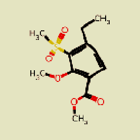 CCc1ccc(C(=O)OC)c(OC)c1S(C)(=O)=O